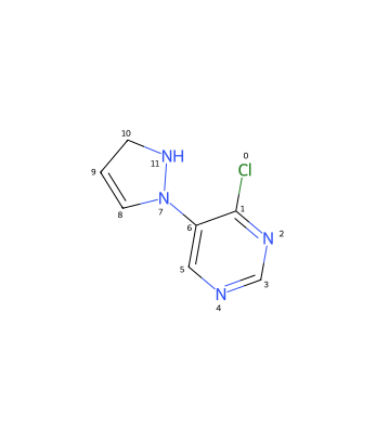 Clc1ncncc1N1C=CCN1